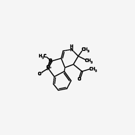 CC(=O)C1=CNC(C)(C)C(C(C)=O)C1c1ccccc1[N+](=O)[O-]